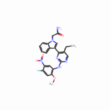 CCc1cnc(Nc2cc([N+](=O)[O-])c(F)cc2OC)nc1-c1cn(CC(N)=O)c2ccccc12